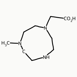 CN1CCNCCN(CC(=O)O)CC1